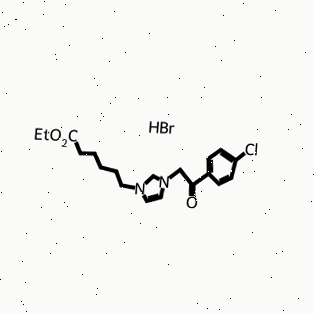 Br.CCOC(=O)CCCCCN1C=CN(CC(=O)c2ccc(Cl)cc2)C1